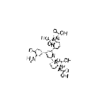 COc1ccc(-c2cc(-c3cccc([N+](C)(C(=O)O)N(C)C(=O)O)n3)nc(-c3cccc([N+](C)(C(=O)O)N(C)C(=O)O)n3)c2)cc1N